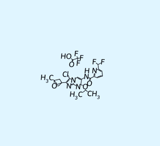 CC(C)Oc1nc2nc(C34COC(C)(C3)C4)c(Cl)n2cc1NC(=O)c1cccc(C(F)F)n1.O=C(O)C(F)(F)F